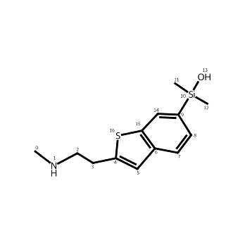 CNCCc1cc2ccc([Si](C)(C)O)cc2s1